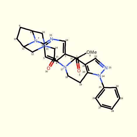 COC(=O)c1ccc(N2C3CCC2CN(CC(=O)N2CCc4c(cnn4-c4ccccc4)C2)C3)nc1